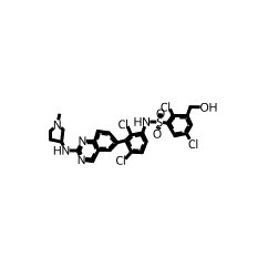 CN1CCC(Nc2ncc3cc(-c4c(Cl)ccc(NS(=O)(=O)c5cc(Cl)cc(CO)c5Cl)c4Cl)ccc3n2)C1